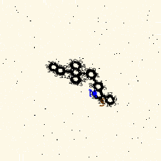 c1cc(-c2ccc3c(c2)ncc2sc4ccccc4c23)cc(-c2c3ccccc3c(-c3ccc4ccccc4c3)c3ccccc23)c1